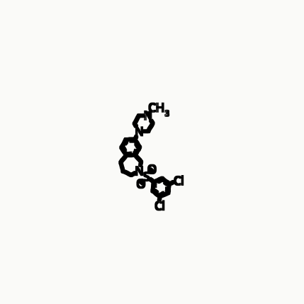 CN1CCN(c2ccc3c(c2)CN(S(=O)(=O)c2cc(Cl)cc(Cl)c2)CCC3)CC1